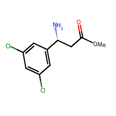 COC(=O)C[C@@H](N)c1cc(Cl)cc(Cl)c1